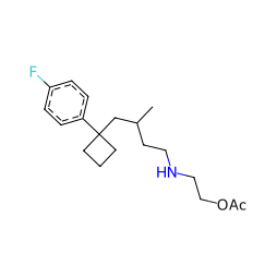 CC(=O)OCCNCCC(C)CC1(c2ccc(F)cc2)CCC1